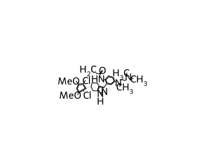 C=CC(=O)Nc1ccc(N(C)CCN(C)C)cc1-c1n[nH]c2c1CC[C@@H](c1c(Cl)c(OC)cc(OC)c1Cl)C2